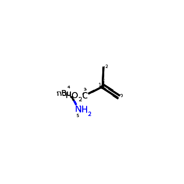 C=C(C)C(=O)O.CCCCN